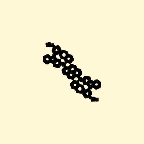 CC(C)(C)c1cccc(-n2c3ccccc3c3ccc(N(c4cccc5c4CCCC5)c4ccc5ccc6c(N(c7ccc8c9ccccc9n(-c9cccc(C(C)(C)C)c9)c8c7)c7cccc8c7CCCC8)ccc7ccc4c5c76)cc32)c1